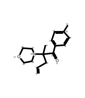 C=CCC(C)(C(=O)c1ccc(C)cc1)N1CCOCC1